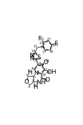 O=C1N[C@H]2COC[C@H]2n2cc(-c3nnc(Cc4ccc(F)cc4F)s3)c(=O)c(O)c21